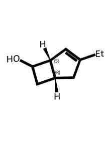 CCC1=C[C@H]2C(O)C[C@H]2C1